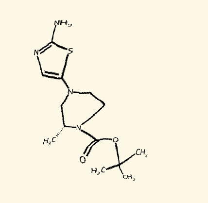 C[C@@H]1CN(c2cnc(N)s2)CCN1C(=O)OC(C)(C)C